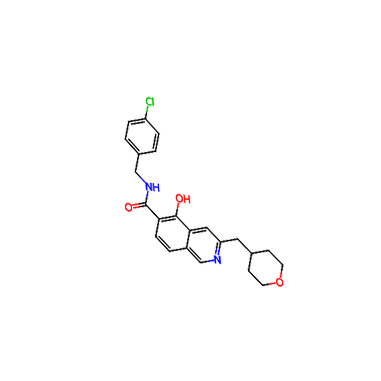 O=C(NCc1ccc(Cl)cc1)c1ccc2cnc(CC3CCOCC3)cc2c1O